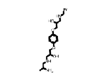 CC(C)CNCC(O)COc1ccc(OCC(O)CNCC(C)N)cc1